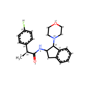 C[C@H](C(=O)NC1Cc2ccccc2C1N1CCOCC1)c1ccc(F)cc1